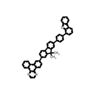 CC1(C)c2cc(-c3ccc(-c4cccc5c4oc4ccccc45)cc3)ccc2-c2ccc(-c3ccc4c(c3)c3ccccc3c3nccnc43)cc21